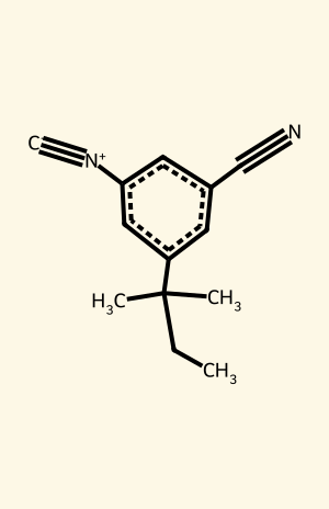 [C-]#[N+]c1cc(C#N)cc(C(C)(C)CC)c1